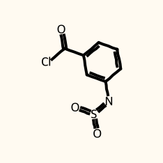 O=C(Cl)c1cccc(N=S(=O)=O)c1